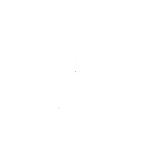 Cc1nn(C)c(C)c1CN1C(=O)COc2c(F)cc(Br)cc21